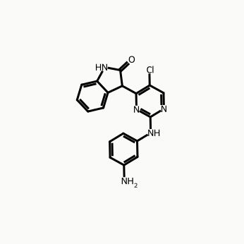 Nc1cccc(Nc2ncc(Cl)c(C3C(=O)Nc4ccccc43)n2)c1